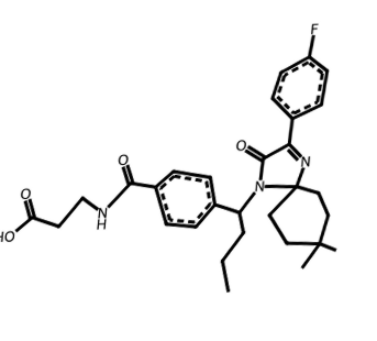 CCCC(c1ccc(C(=O)NCCC(=O)O)cc1)N1C(=O)C(c2ccc(F)cc2)=NC12CCC(C)(C)CC2